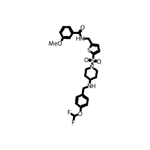 COc1cccc(C(=O)NCc2ccc(S(=O)(=O)N3CCC(NCc4ccc(OC(F)F)cc4)CC3)s2)c1